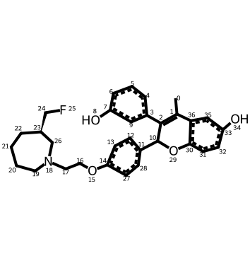 CC1=C(c2cccc(O)c2)C(c2ccc(OCCN3CCCC[C@@H](CF)C3)cc2)Oc2ccc(O)cc21